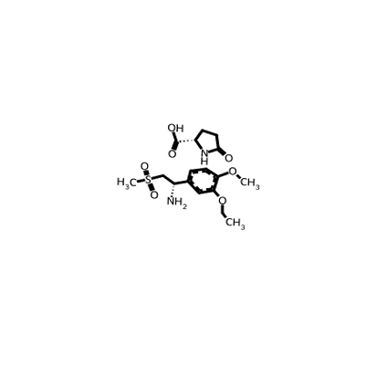 CCOc1cc([C@H](N)CS(C)(=O)=O)ccc1OC.O=C1CC[C@@H](C(=O)O)N1